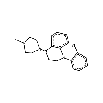 CN1CCN(N2CCN(c3ccccc3Cl)c3ccccc32)CC1